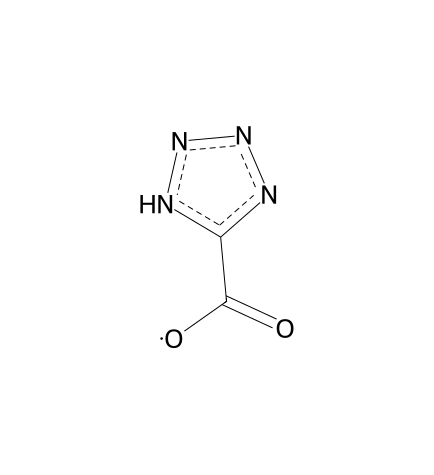 [O]C(=O)c1nnn[nH]1